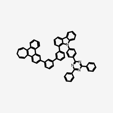 c1ccc2c3c(c4ccc(-c5cccc(-c6cccc(-c7cccc8c9ccccc9n(-c9ccc(-c%10nc(-c%11ccccc%11)nc(-c%11ccccc%11)n%10)cc9)c78)c6)c5)cc4c2c#1)C=CCC=C3